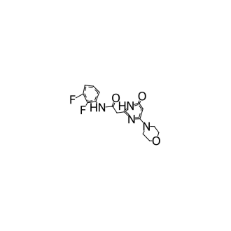 O=C(Cc1nc(N2CCOCC2)cc(=O)[nH]1)Nc1cccc(F)c1F